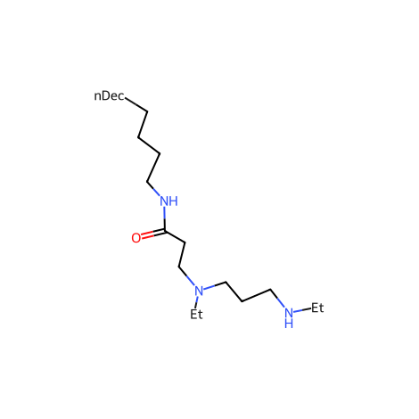 CCCCCCCCCCCCCCNC(=O)CCN(CC)CCCNCC